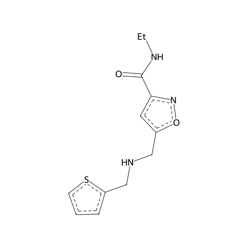 CCNC(=O)c1cc(CNCc2cccs2)on1